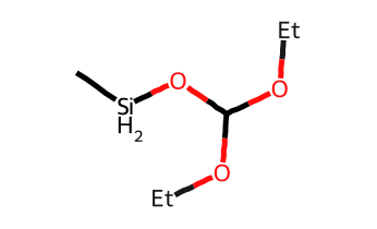 CCOC(OCC)O[SiH2]C